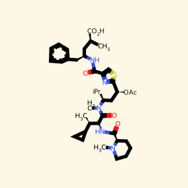 CC(=O)O[C@H](C[C@H](C(C)C)N(C)C(=O)[C@@H](NC(=O)[C@H]1CCCCN1C)[C@@H](C)C1CC1)c1nc(C(=O)N[C@@H](Cc2ccccc2)C[C@H](C)C(=O)O)cs1